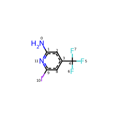 Nc1cc(C(F)(F)F)cc(I)n1